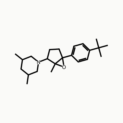 CC1CC(C)CN(C2CCC3(c4ccc(C(C)(C)C)cc4)OC23C)C1